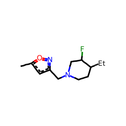 CCC1CCN(Cc2cc(C)on2)CC1F